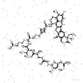 CC[C@@]1(O)C(=O)OCc2c1cc1n(c2=O)Cc2c-1nc1cc(F)c(C)c3c1c2[C@@H](NC(=O)C12CC(OCNC(=O)[C@H](CCCNC(N)=O)NC(=O)[C@@H](NC(=O)[C@@H](N)CCC(=O)NC[C@H]4O[C@@H](CC(N)=O)[C@H](O)[C@@H]4O)C(C)C)(C1)C2)CC3